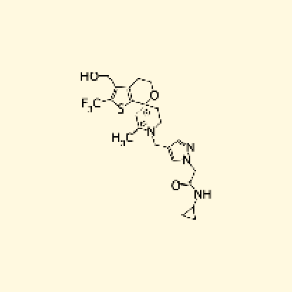 C[C@H]1C[C@@]2(CCN1Cc1cnn(CC(=O)NC3CC3)c1)OCCc1c2sc(C(F)(F)F)c1CO